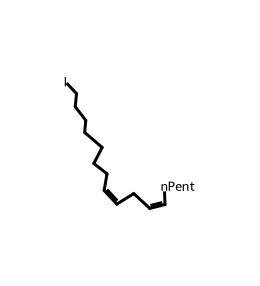 CCCCC/C=C\C/C=C\CCCCCCCI